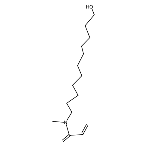 C=CC(=C)N(C)CCCCCCCCCCCO